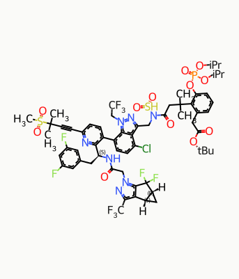 CC(C)OP(=O)(Oc1cccc(CC(=O)OC(C)(C)C)c1C(C)(C)CC(=O)N(Cc1nn(CC(F)(F)F)c2c(-c3ccc(C#CC(C)(C)S(C)(=O)=O)nc3[C@H](Cc3cc(F)cc(F)c3)NC(=O)Cn3nc(C(F)(F)F)c4c3C(F)(F)[C@@H]3C[C@H]43)ccc(Cl)c12)[SH](=O)=O)OC(C)C